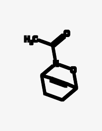 CC(=O)N1OC2C=CC1CC2